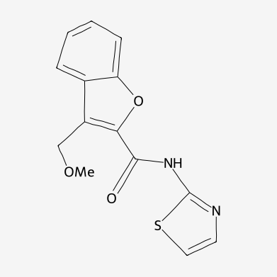 COCc1c(C(=O)Nc2nccs2)oc2ccccc12